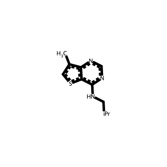 Cc1csc2c(NCC(C)C)ncnc12